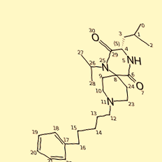 CC(C)C[C@@H]1NC(=O)C2(CCN(CCCCCc3ccccc3)CC2)N(C(C)C)C1=O